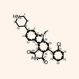 Cn1c2cc(C3CCNCC3)ccc2c2c3c(c(-c4ccccc4Cl)cc21)C(=O)NC3=O